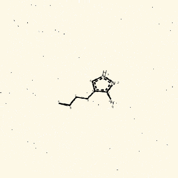 [2H]c1n[nH]cc1CCCC